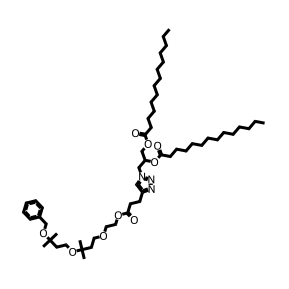 CCCCCCCCCCCCCC(=O)OCC(Cn1cc(CCC(=O)OCCOCCC(C)(C)OCCC(C)(C)OCc2ccccc2)nn1)OC(=O)CCCCCCCCCCCCC